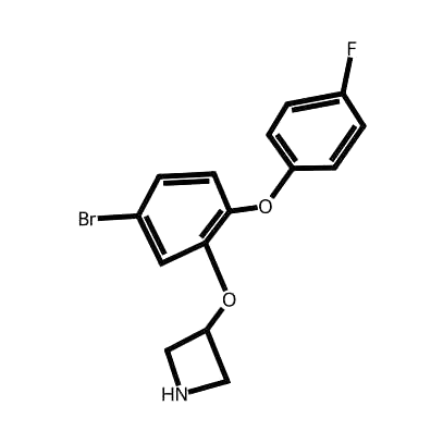 Fc1ccc(Oc2ccc(Br)cc2OC2CNC2)cc1